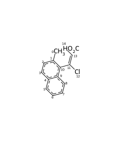 Cc1ccc2ccccc2c1/C(Cl)=C\C(=O)O